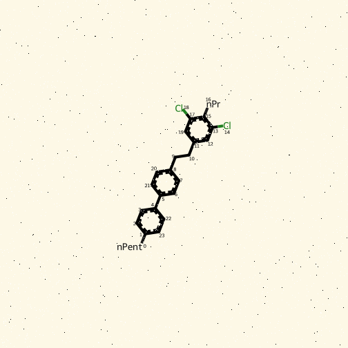 CCCCCc1ccc(-c2ccc(CCc3cc(Cl)c(CCC)c(Cl)c3)cc2)cc1